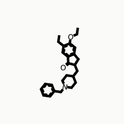 CCOc1cc2c(cc1CC)C(=O)C(CC1CCN(Cc3ccccc3)CC1)C2